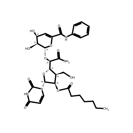 CCCCCCC(=O)O[C@@H]1[C@H](CO)[C@@H]([C@@H](O[C@H]2OC(C(=O)Nc3ccccc3)=C[C@H](O)[C@@H]2O)C(N)=O)O[C@H]1n1ccc(=O)[nH]c1=O